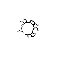 O=C1Nc2ccc3nc2/C1=C/c1[nH]ccc1C(=O)NC[C@H](O)COc1[nH]ncc1-3